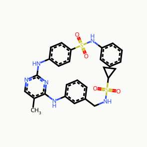 Cc1cnc(Nc2ccc(S(=O)(=O)Nc3ccccc3)cc2)nc1Nc1cccc(CNS(=O)(=O)C2CC2)c1